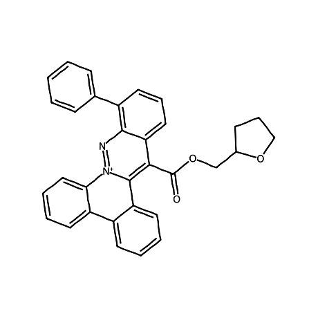 O=C(OCC1CCCO1)c1c2cccc(-c3ccccc3)c2n[n+]2c3ccccc3c3ccccc3c12